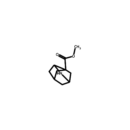 COC(=O)C12CC3CC(C1)NC2C3